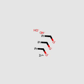 CC(C)C[O-].CC(C)C[O-].CC(C)C[O-].[OH-].[OH-].[Zr+4]